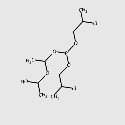 CC(Cl)COP(OCC(C)Cl)OC(C)OC(C)O